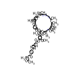 CO[C@H]1C[C@@H]2CC[C@@H](C)[C@@](O)(O2)C(=O)C(=O)N2CCCC[C@H]2C(=O)O[C@H]([C@H](C)C[C@@H]2CC[C@@H](OC(=O)NCc3cnc(N4CCN(C(=O)CN(C)CC(C)=O)CC4)nc3)[C@H](OC)C2)C[C@@H](OC)[C@H](C)/C=C(\C)[C@@H](O)[C@@H](O)C(=O)[C@H](C)C[C@H](C)/C=C/C=C/C=C/1C